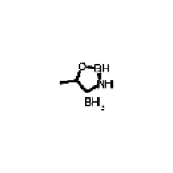 B.CC1CNBO1